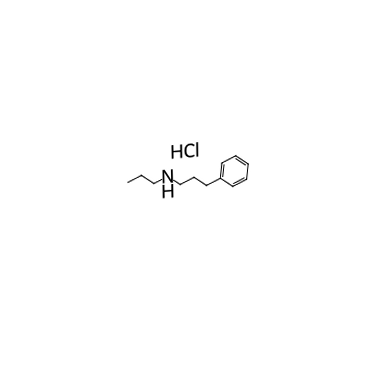 CCCNCCCc1ccccc1.Cl